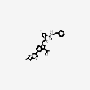 CC(=O)c1cn(CC(=O)N2C[C@H](F)C[C@H]2C(=O)NCCc2ccccc2)c2ccc(-c3cnc4cc(C)nn4c3)cc12